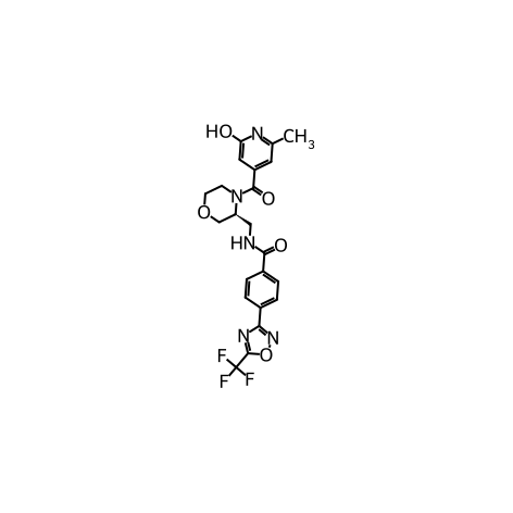 Cc1cc(C(=O)N2CCOC[C@@H]2CNC(=O)c2ccc(-c3noc(C(F)(F)F)n3)cc2)cc(O)n1